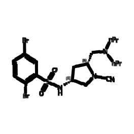 CCCN(CCC)C[C@H]1C[C@@H](NS(=O)(=O)c2cc(Br)ccc2Br)CN1C#N